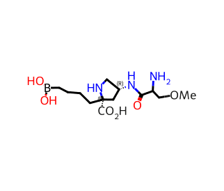 COCC(N)C(=O)N[C@H]1CN[C@@](CCCCB(O)O)(C(=O)O)C1